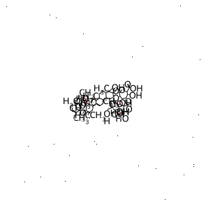 C/C=C(/C)C(=O)O[C@H]1[C@H](OC(=O)/C(C)=C\C)C2(CO)C(CC1(C)C)C1=CCC3[C@@]4(C)CC[C@H](O[C@@H]5OC(C(=O)O)[C@@H](O)C(O[C@@H]6O[C@@H](CO)C(O)C6O)CC5O[C@@H]5OC(CO)[C@@H](O)C(O)C5O)[C@](C)(CO)C4CC[C@@]3(C)[C@]1(C)C[C@H]2O